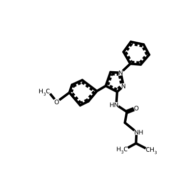 COc1ccc(-c2cn(-c3ccccc3)nc2NC(=O)CNC(C)C)cc1